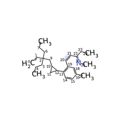 C=CC(CCC)(CCC)CC1CC1c1ccc(C)cc1/C=C\C(CC)=NC